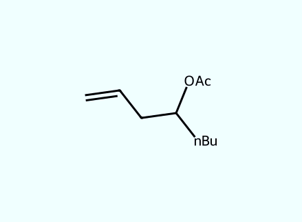 C=CCC(CCCC)OC(C)=O